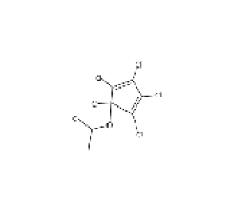 CC(Cl)OC1(Cl)C(Cl)=C(Cl)C(Cl)=C1Cl